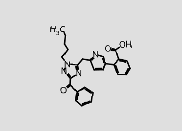 CCCCCn1nc(C(=O)c2ccccc2)nc1Cc1ccc(-c2ccccc2C(=O)O)cn1